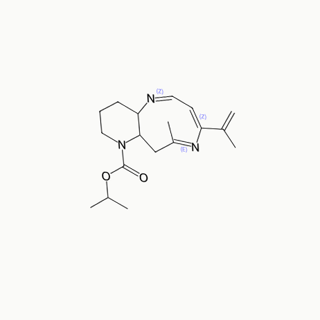 C=C(C)C1=C/C=N\C2CCCN(C(=O)OC(C)C)C2C\C(C)=N\1